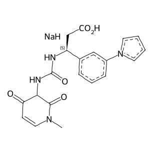 CN1C=CC(=O)C(NC(=O)N[C@@H](CC(=O)O)c2cccc(-n3cccc3)c2)C1=O.[NaH]